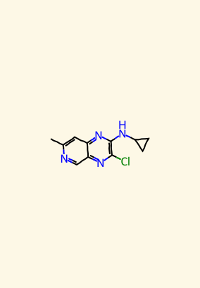 Cc1cc2nc(NC3CC3)c(Cl)nc2cn1